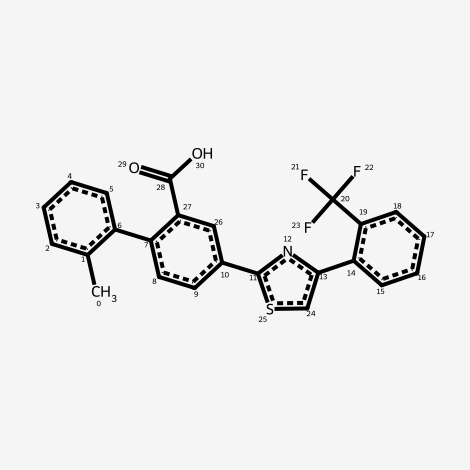 Cc1ccccc1-c1ccc(-c2nc(-c3ccccc3C(F)(F)F)cs2)cc1C(=O)O